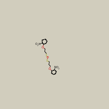 O=[N+]([O-])c1ccccc1OCCCSOSCCCOc1ccccc1[N+](=O)[O-]